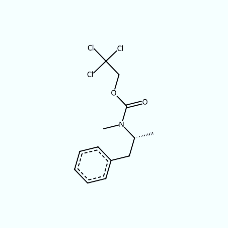 C[C@H](Cc1ccccc1)N(C)C(=O)OCC(Cl)(Cl)Cl